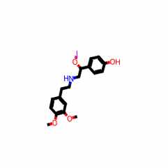 COc1ccc(CCNCC(OI)c2ccc(O)cc2)cc1OC